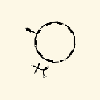 N#CC1=NC=CC=NC=CC=CC=COCC=CC=CN=C1.O=C(O)C(F)(F)F